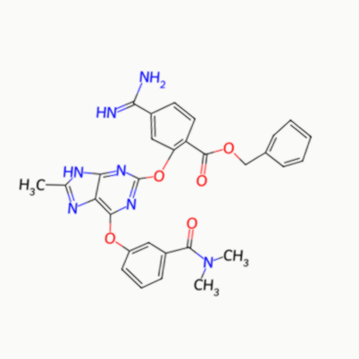 Cc1nc2c(Oc3cccc(C(=O)N(C)C)c3)nc(Oc3cc(C(=N)N)ccc3C(=O)OCc3ccccc3)nc2[nH]1